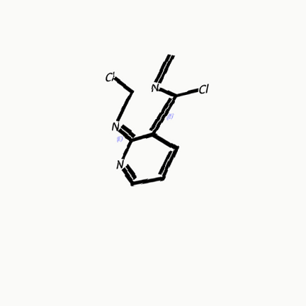 C=N/C(Cl)=C1/C=CC=N/C1=N/CCl